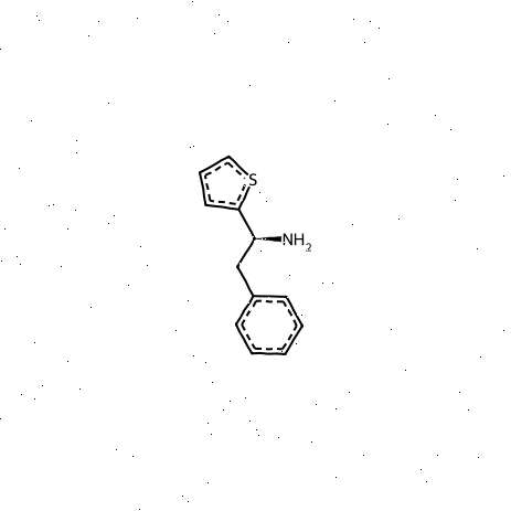 N[C@@H](Cc1ccccc1)c1cccs1